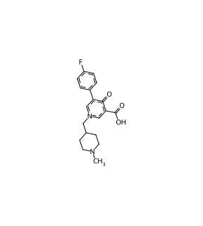 CN1CCC(Cn2cc(C(=O)O)c(=O)c(-c3ccc(F)cc3)c2)CC1